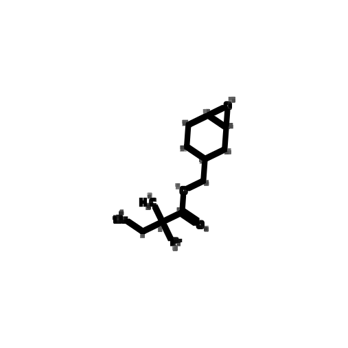 CC(C)C(C)(CC(C)(C)C)C(=O)OCC1CCC2OC2C1